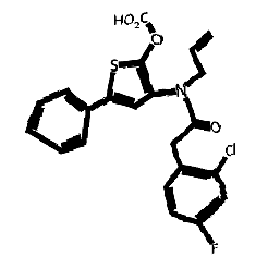 C=CCN(C(=O)Cc1ccc(F)cc1Cl)c1cc(-c2ccccc2)sc1OC(=O)O